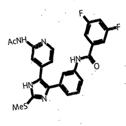 CSc1nc(-c2cccc(NC(=O)c3cc(F)cc(F)c3)c2)c(-c2ccnc(NC(C)=O)c2)[nH]1